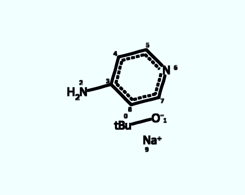 CC(C)(C)[O-].Nc1ccncc1.[Na+]